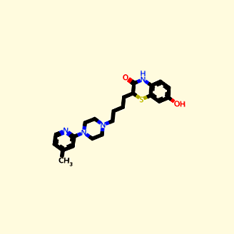 Cc1ccnc(N2CCN(CCCCC3Sc4cc(O)ccc4NC3=O)CC2)c1